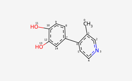 Cc1cnccc1-c1ccc(O)c(O)c1